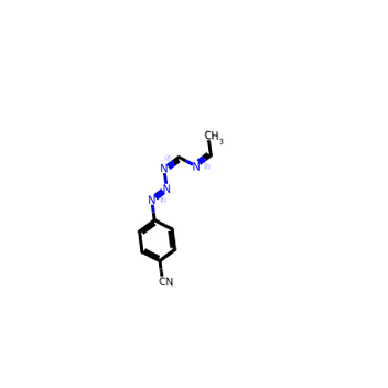 C\C=N/C=N\N=N\c1ccc(C#N)cc1